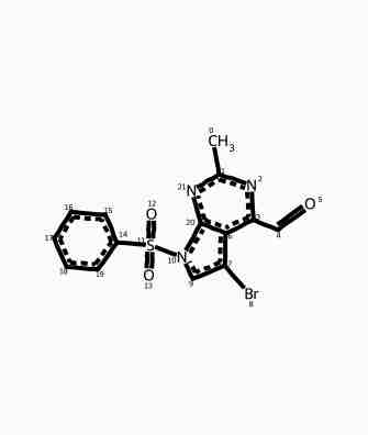 Cc1nc(C=O)c2c(Br)cn(S(=O)(=O)c3ccccc3)c2n1